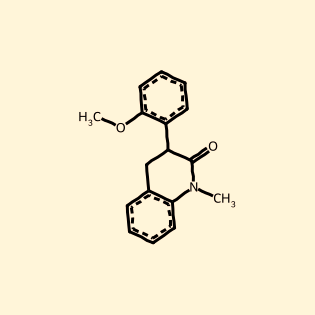 COc1ccccc1C1Cc2ccccc2N(C)C1=O